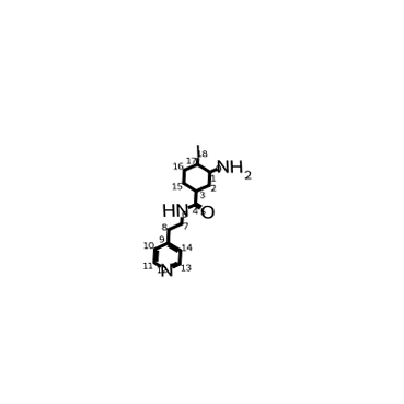 NC1CC(C(=O)NCCc2ccncc2)CCC1I